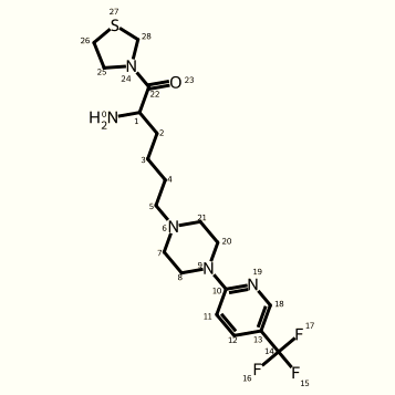 NC(CCCCN1CCN(c2ccc(C(F)(F)F)cn2)CC1)C(=O)N1CCSC1